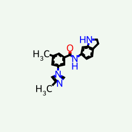 Cc1cc(C(=O)Nc2ccc3c(c2)NCC3)cc(-n2cnc(C)c2)c1